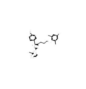 Cc1cc(C)c(OCCCc2oc(-n3ccnc3C)nc2-c2ccc(Cl)cc2)c(C)c1